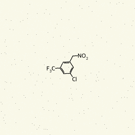 O=[N+]([O-])Cc1cc(Cl)cc(C(F)(F)F)c1